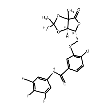 CC1(C)O[C@@H]2[C@@H](CSc3cc(C(=O)Nc4cc(F)c(F)c(F)c4)ccc3Cl)OC(=O)C2(C)O1